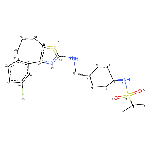 CC(C)S(=O)(=O)N[C@H]1CC[C@H](CNc2nc3c(s2)CCCc2ccc(F)cc2-3)CC1